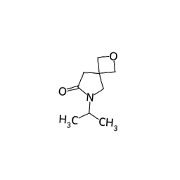 CC(C)N1CC2(COC2)CC1=O